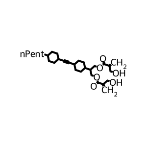 C=C(CO)C(=O)OCC(COC(=O)C(=C)CO)C1CCC(C#CC2CCC(CCCCC)CC2)CC1